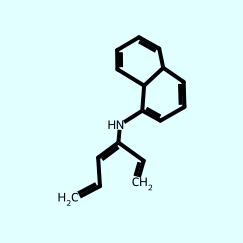 C=C/C=C(\C=C)NC1=CC=CC2C=CC=CC12